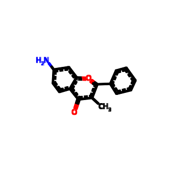 Cc1c(-c2ccccc2)oc2cc(N)ccc2c1=O